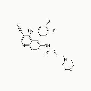 N#Cc1cnc2ccc(NC(=O)C=CCN3CCOCC3)cc2c1Nc1ccc(F)c(Br)c1